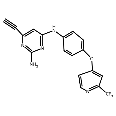 C#Cc1cc(Nc2ccc(Oc3ccnc(C(F)(F)F)c3)cc2)nc(N)n1